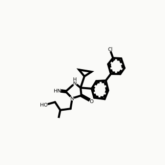 CC(CO)CN1C(=N)NC(c2cccc(-c3cccc(Cl)c3)c2)(C2CC2)C1=O